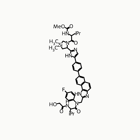 COC(=O)NC(C(=O)N1C[Si](C)(C)CC1c1ncc(-c2ccc(-c3ccc4c(ccc5nc(CN(C(=O)C(NC(=O)CO)C(C)C)c6ccc(F)cc6)[nH]c54)c3)cc2)[nH]1)C(C)C